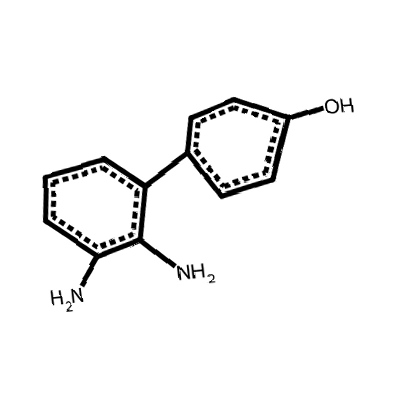 Nc1cccc(-c2ccc(O)cc2)c1N